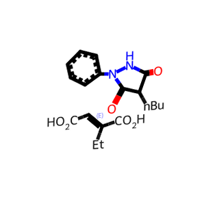 CC/C(=C\C(=O)O)C(=O)O.CCCCC1C(=O)NN(c2ccccc2)C1=O